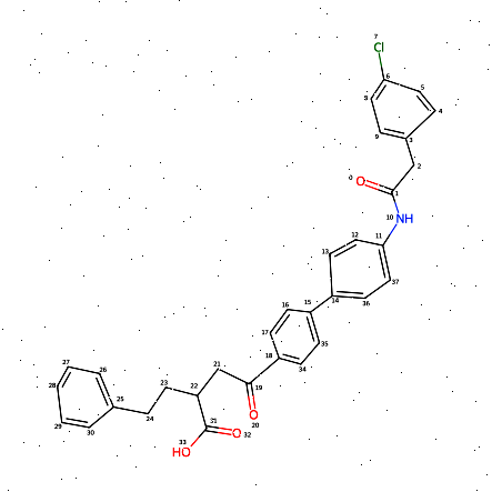 O=C(Cc1ccc(Cl)cc1)Nc1ccc(-c2ccc(C(=O)CC(CCc3ccccc3)C(=O)O)cc2)cc1